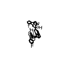 O=S(=O)(Cc1ccc(F)cc1)NCC1C2CC3CC1CC(C(O)CC1c4c(F)cccc4-c4cncn41)(C3)C2